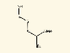 CCC(C)C(SC)SSSS